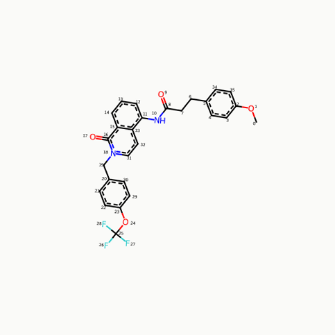 COc1ccc(CCC(=O)Nc2cccc3c(=O)n(Cc4ccc(OC(F)(F)F)cc4)ccc23)cc1